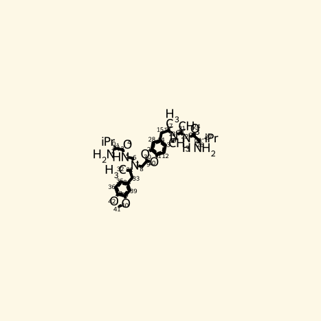 CC(C)[C@H](N)C(=O)NCN(CC1Oc2ccc(CC(C)N(C)C(C)NC(=O)[C@@H](N)C(C)C)cc2O1)C(C)Cc1ccc2c(c1)OCO2